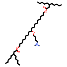 CCCCCC(CCCCC)CC(=O)OCCCCCCCCCC(CCCCCCCCOC(=O)CC(CCCCC)CCCCC)OCCCCN(C)C